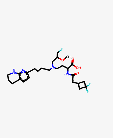 COC(CF)CN(CCCCc1ccc2c(n1)NCCC2)CCC(NC(=O)CC1CC(F)(F)C1)C(=O)O